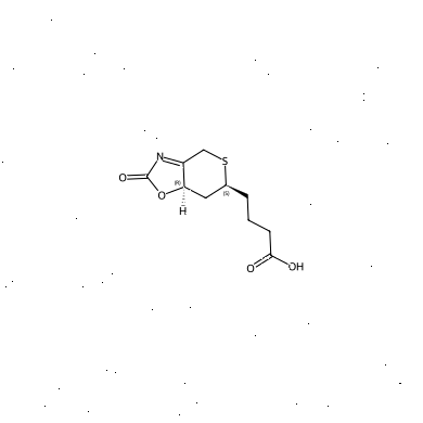 O=C(O)CCC[C@H]1C[C@H]2OC(=O)N=C2CS1